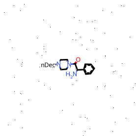 CCCCCCCCCCN1CCN(C(=O)C(N)c2ccccc2)CC1